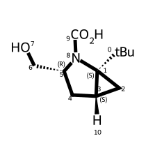 CC(C)(C)[C@]12C[C@@H]1C[C@H](CO)N2C(=O)O